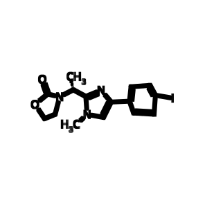 C[C@H](c1nc(-c2ccc(I)cc2)cn1C)N1CCOC1=O